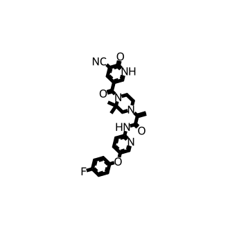 C=C(C(=O)Nc1ccc(Oc2ccc(F)cc2)cn1)N1CCN(C(=O)c2c[nH]c(=O)c(C#N)c2)C(C)(C)C1